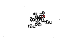 Cc1cc2c(cc1N1c3cc4c(cc3B3c5cc6c(cc5N(c5ccc(C(C)(C)C)cc5-c5ccccc5)c5cc(N7c8ccc(C(C)(C)C)cc8C8(C)CCCCC78C)cc1c53)C(C)(C)c1ccccc1C6(C)C)C(C)(C)CC4(C)C)C(C)(C)CC2(C)C